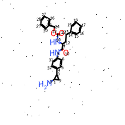 NC1CC1c1ccc(NC(=O)C(CCc2ccccc2)NC(=O)OCc2ccccc2)cc1